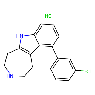 Cl.Clc1cccc(-c2cccc3[nH]c4c(c23)CCNCC4)c1